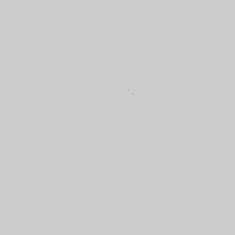 Clc1ccc(OCc2ccccc2)nc1